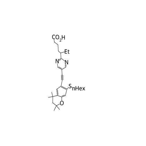 CCCCCCSc1cc2c(cc1C#Cc1cnc(C(CC)CCCC(=O)O)nc1)C(C)(C)CC(C)(C)O2